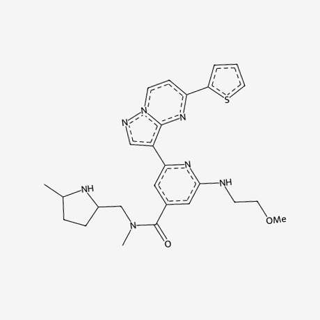 COCCNc1cc(C(=O)N(C)CC2CCC(C)N2)cc(-c2cnn3ccc(-c4cccs4)nc23)n1